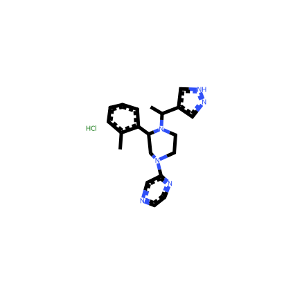 Cc1ccccc1C1CN(c2cnccn2)CCN1C(C)c1cn[nH]c1.Cl